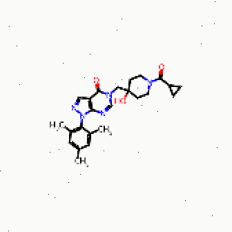 Cc1cc(C)c(-n2ncc3c(=O)n(CC4(O)CCN(C(=O)C5CC5)CC4)cnc32)c(C)c1